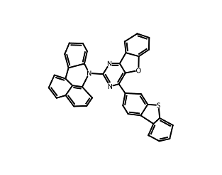 c1ccc2c(c1)-c1cccc3cccc(c13)N2c1nc(-c2ccc3c(c2)sc2ccccc23)c2oc3ccccc3c2n1